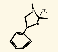 CN1C[C@H](c2ccccc2)N[C@@]1(C)C(F)(F)F